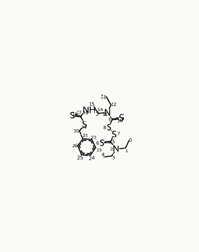 CCN(CC)C(=S)SSC(=S)N(CC)CC.NC(=S)SCc1ccccc1